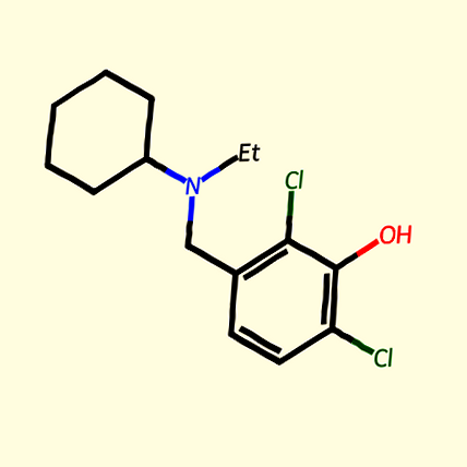 CCN(Cc1ccc(Cl)c(O)c1Cl)C1CCCCC1